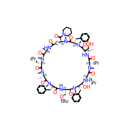 CC(C)C[C@@H]1NC(O)[C@H](Cc2ccccc2)N(C)C(O)[C@H](COC(C)(C)C)NC(=O)[C@H](Cc2ccccc2)N(C)C(=O)[C@H](C)N(C)C(=O)[C@H](CC(C)C)N(C)C(=O)[C@@H](C)NC(=O)C[C@@H](C(=O)N2CCCCC2)N(C)C(=O)[C@H](Cc2ccccc2)N(C)C(=O)[C@H]([C@@H](C)O)NC(=O)[C@H](C(C)C)N(C)C1=O